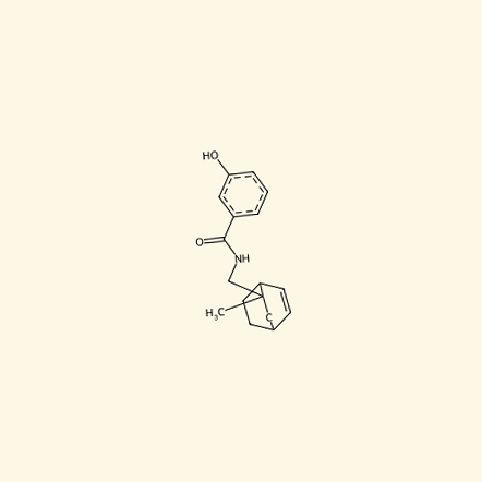 CC1(CNC(=O)c2cccc(O)c2)CC2C=CC1CC2